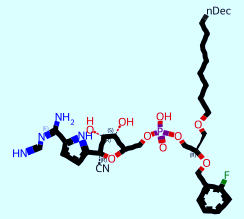 CCCCCCCCCCCCCCCCCCOC[C@H](COP(=O)(O)OCC1O[C@@](C#N)(c2ccc(/C(N)=N\C=N)[nH]2)[C@H](O)[C@@H]1O)OCc1ccccc1F